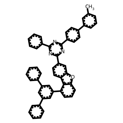 Cc1cccc(-c2ccc(-c3nc(-c4ccccc4)nc(-c4ccc5c(c4)oc4cccc(-c6cc(-c7ccccc7)cc(-c7ccccc7)c6)c45)n3)cc2)c1